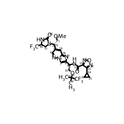 COC[C@H](c1cnn2cc([C@H](COC(C)(C)C(F)(F)F)NC(=O)c3nonc3C3CC3)nc2c1)N1C[C@@H](C(F)(F)F)NC1=O